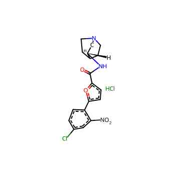 Cl.O=C(N[C@H]1CN2CCC1CC2)c1ccc(-c2ccc(Cl)cc2[N+](=O)[O-])o1